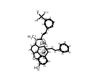 CN(C(=O)/C=C/c1cccc(C(F)(F)F)c1)C1CCC2Oc3c(O)ccc4c3[C@@]23CCN(CCc2ccccc2)[C@H](C4)[C@]13O